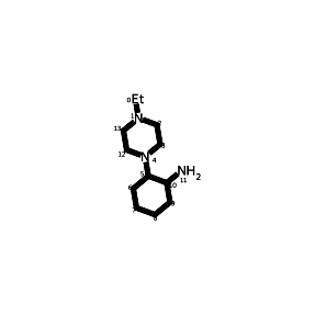 CCN1CCN(C2CCCCC2N)CC1